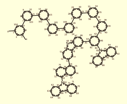 Cc1cc(C)cc(-c2cccc(-c3cccc(-c4cccc(-c5cccc(-c6cccc(-c7cccc(-c8cccc(-c9cc(-c%10ccc%11sc%12ccc(-c%13cccc%14c(-n%15c%16ccccc%16c%16ccccc%16%15)cccc%13%14)cc%12c%11c%10)cc(-n%10c%11ccccc%11c%11ccccc%11%10)c9)c8)c7)c6)c5)c4)c3)c2)c1